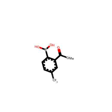 COC(=O)c1cc(C(F)(F)F)ccc1B(O)O